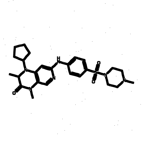 CC1C(=O)N(C)c2cnc(Nc3ccc(S(=O)(=O)N4CCN(C)CC4)cc3)cc2N1C1CCCC1